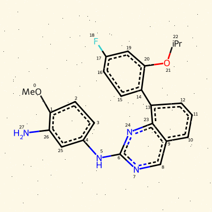 COc1ccc(Nc2ncc3cccc(-c4ccc(F)cc4OC(C)C)c3n2)cc1N